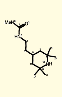 CNC(=O)NCCC1CC(C)(C)NC(C)(C)C1